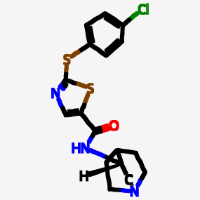 O=C(N[C@H]1CN2CCC1CC2)c1cnc(Sc2ccc(Cl)cc2)s1